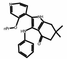 CCCOc1cnccc1-c1[nH]c2c(c1Nc1ccccc1)C(=O)CC(C)(C)C2